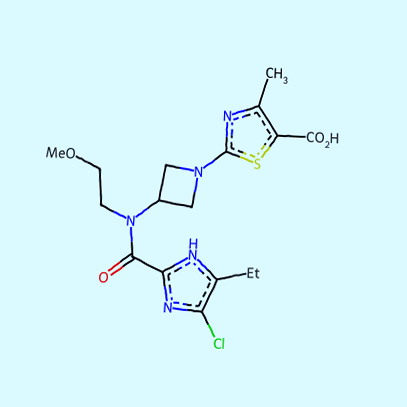 CCc1[nH]c(C(=O)N(CCOC)C2CN(c3nc(C)c(C(=O)O)s3)C2)nc1Cl